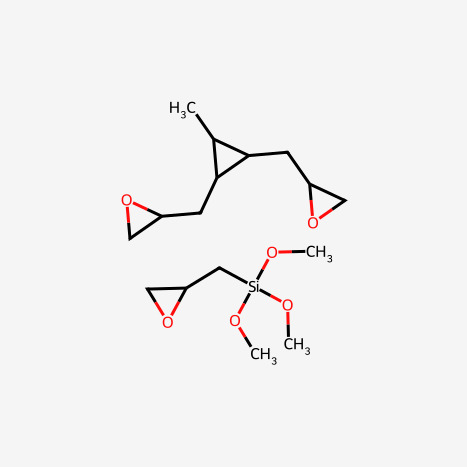 CC1C(CC2CO2)C1CC1CO1.CO[Si](CC1CO1)(OC)OC